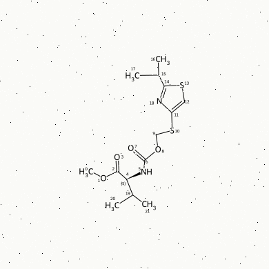 COC(=O)[C@@H](NC(=O)OCSc1csc(C(C)C)n1)C(C)C